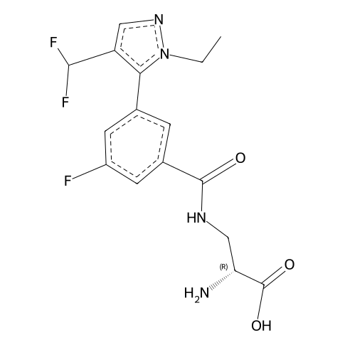 CCn1ncc(C(F)F)c1-c1cc(F)cc(C(=O)NC[C@@H](N)C(=O)O)c1